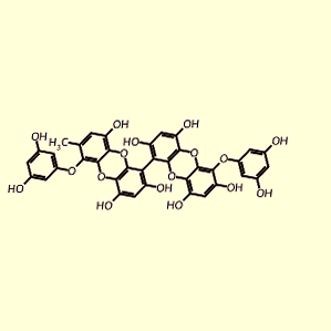 Cc1cc(O)c2c(c1Oc1cc(O)cc(O)c1)Oc1c(O)cc(O)c(-c3c(O)cc(O)c4c3Oc3c(O)cc(O)c(Oc5cc(O)cc(O)c5)c3O4)c1O2